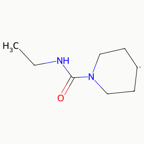 CCNC(=O)N1CC[CH]CC1